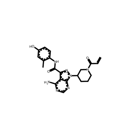 C=CC(=O)N1CCCC(n2nc(C(=O)Nc3ccc(O)cc3C)c3c(N)ncnc32)C1